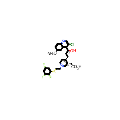 COc1ccc2ncc(Cl)c([C@@H](O)CC[C@@H]3CCN(CCSc4cc(F)cc(F)c4F)C[C@H]3CC(=O)O)c2c1